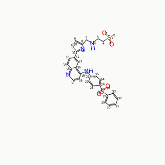 CS(=O)(=O)CCNCc1csc(-c2ccc3nccc(Nc4ccc(S(=O)(=O)c5ccccc5)cc4)c3c2)n1